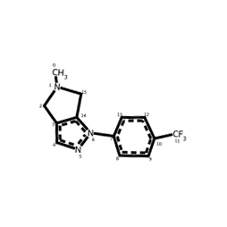 CN1Cc2cnn(-c3ccc(C(F)(F)F)cc3)c2C1